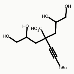 CCCCC#CC(CC(O)CO)(CC(O)CO)C(=O)O